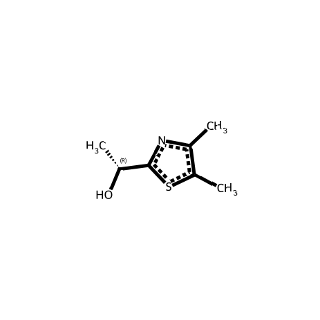 Cc1nc([C@@H](C)O)sc1C